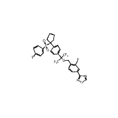 O=S(=O)(c1ccc(F)cc1)C1(c2ccc(C(OCc3ccc(-c4ncon4)cc3F)(C(F)(F)F)C(F)(F)F)cc2)CCCC1